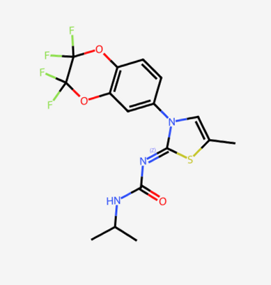 Cc1cn(-c2ccc3c(c2)OC(F)(F)C(F)(F)O3)/c(=N/C(=O)NC(C)C)s1